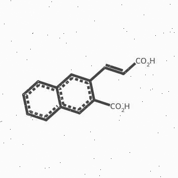 O=C(O)C=Cc1cc2ccccc2cc1C(=O)O